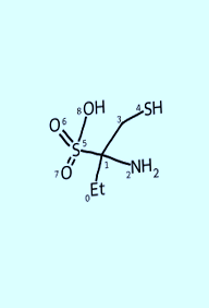 CCC(N)(CS)S(=O)(=O)O